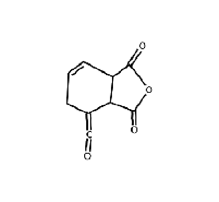 O=C=C1CC=CC2C(=O)OC(=O)C12